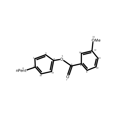 CCCCCc1ccc(OC(=O)c2cccc(OC)c2)cc1